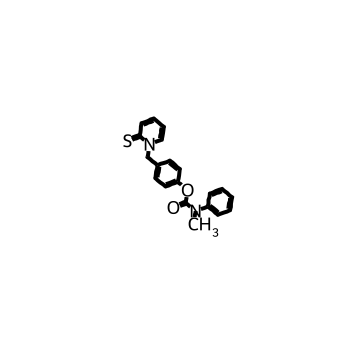 CN(C(=O)Oc1ccc(Cn2ccccc2=S)cc1)c1ccccc1